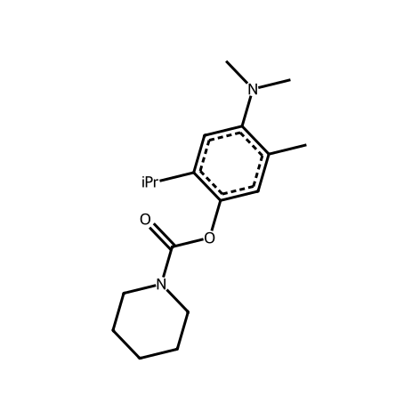 Cc1cc(OC(=O)N2CCCCC2)c(C(C)C)cc1N(C)C